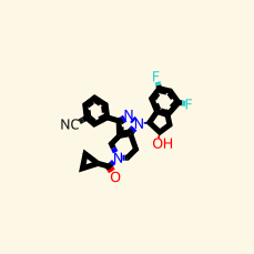 N#Cc1cccc(-c2nn([C@@H]3c4cc(F)cc(F)c4C[C@@H]3O)c3c2CN(C(=O)C2CC2)CC3)c1